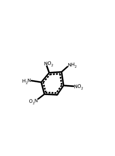 Nc1c([N+](=O)[O-])[c]c([N+](=O)[O-])c(N)c1[N+](=O)[O-]